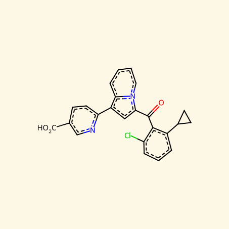 O=C(O)c1ccc(-c2cc(C(=O)c3c(Cl)cccc3C3CC3)n3ccccc23)nc1